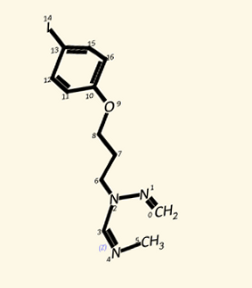 C=NN(/C=N\C)CCCOc1ccc(I)cc1